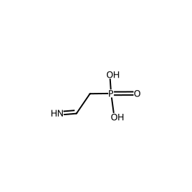 N=CCP(=O)(O)O